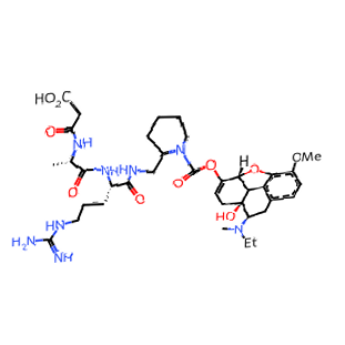 CCN(C)[C@@H]1Cc2ccc(OC)c3c2C2[C@@H](O3)C(OC(=O)N3CCCCC3CNC(=O)[C@H](CCCNC(=N)N)NC(=O)[C@H](C)NC(=O)CC(=O)O)=CC[C@]21O